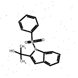 CC(C)(O)c1cc2ccccc2n1S(=O)(=O)c1ccccc1